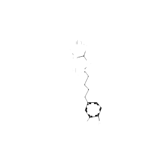 CC(C)OC(O[SiH2]CCCCc1ccc(F)c(F)c1)OC(C)C